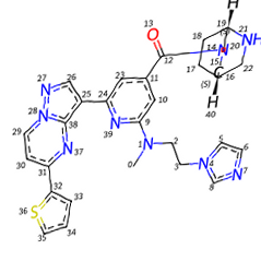 CN(CCn1ccnc1)c1cc(C(=O)N2C[C@H]3CC[C@@H](C2)NC3)cc(-c2cnn3ccc(-c4cccs4)nc23)n1